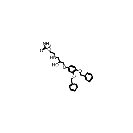 NC(=O)OCCNCC(O)COc1ccc(OCc2ccccc2)c(OCc2ccccc2)c1